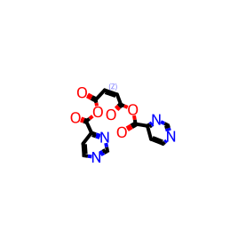 O=C(/C=C\C(=O)OC(=O)c1ccncn1)OC(=O)c1ccncn1